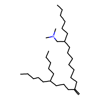 C=C(CCCCCCCC(CCCCCC)CN(C)C)CCCC(CCCCC)CCCCC